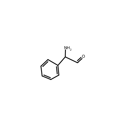 NC([C]=O)c1ccccc1